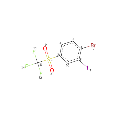 O=S(=O)(c1ccc(Br)c(I)c1)C(F)(F)F